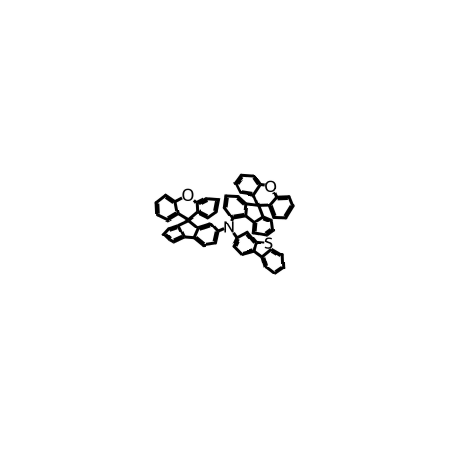 c1ccc2c(c1)Oc1ccccc1C21c2ccccc2-c2ccc(N(c3ccc4c(c3)sc3ccccc34)c3cccc4c3-c3ccccc3C43c4ccccc4Oc4ccccc43)cc21